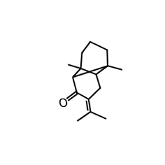 CC(C)=C1CC2C3(C)CCCC2(C)C3C1=O